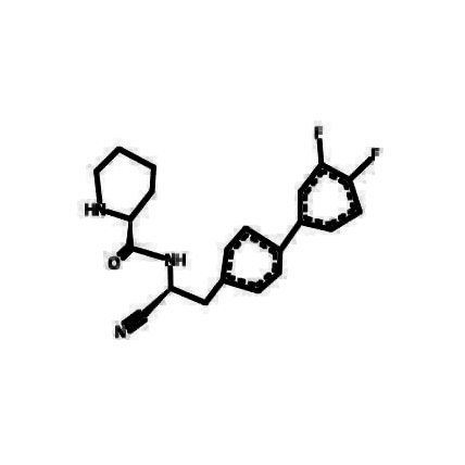 N#C[C@H](Cc1ccc(-c2ccc(F)c(F)c2)cc1)NC(=O)[C@@H]1CCCCN1